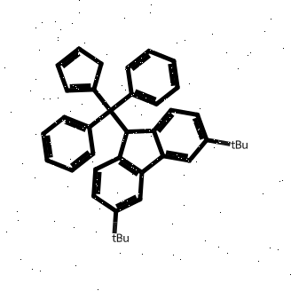 CC(C)(C)c1ccc2c(c1)-c1cc(C(C)(C)C)ccc1C2C(C1=CC=CC1)(c1ccccc1)c1ccccc1